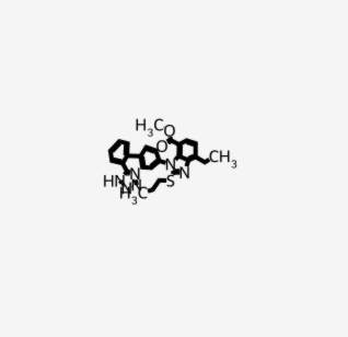 CCCSc1nc2c(CC)ccc(C(=O)OC)c2n1-c1ccc(-c2ccccc2-c2nnn[nH]2)cc1